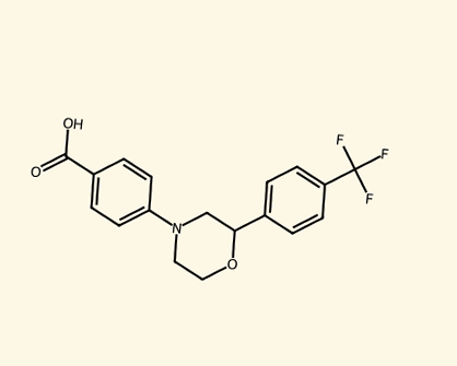 O=C(O)c1ccc(N2CCOC(c3ccc(C(F)(F)F)cc3)C2)cc1